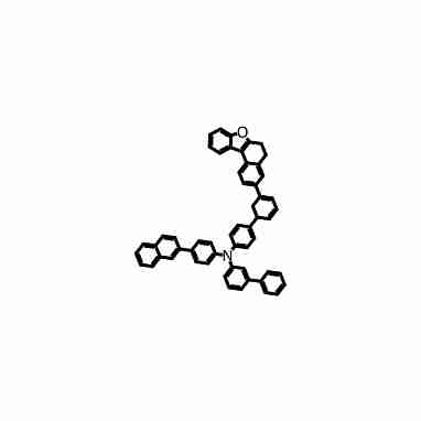 C1=CC(c2ccc(N(c3ccc(-c4ccc5ccccc5c4)cc3)c3cccc(-c4ccccc4)c3)cc2)CC(c2ccc3c(c2)CCc2oc4ccccc4c2-3)=C1